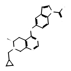 C[C@H]1Cc2c(ncnc2Oc2ccc3c(ccn3C(=O)O)c2)CN1CC1CC1